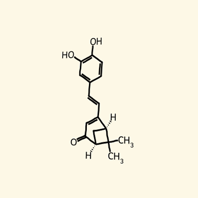 CC1(C)[C@@H]2C[C@H]1C(/C=C/c1ccc(O)c(O)c1)=CC2=O